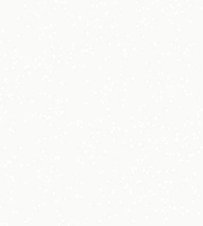 [CH](CC1CCCc2c1ccc1c2ccc2ccccc21)c1cccc2ccccc12